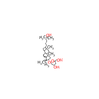 C=C[C@@]1(C)C2=CCC3C4CCC(CCCCC(C)(C)O)[C@@]4(C)CC[C@@]3(C)C2CC[C@@H]1O[C@H]1C[C@@H](O)CC(CO)O1